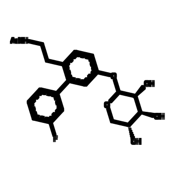 CC(=O)NCCc1ccc(OC2OC[C@@H](O)[C@H](O)[C@@H]2O)cc1-c1cccc(F)c1